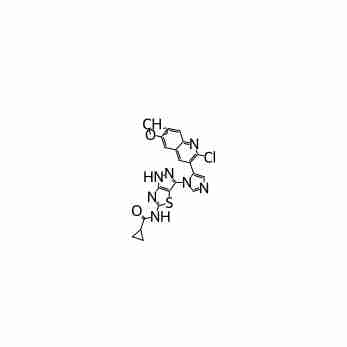 COc1ccc2nc(Cl)c(-c3cncn3-c3n[nH]c4nc(NC(=O)C5CC5)sc34)cc2c1